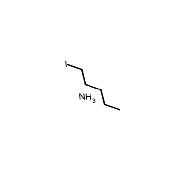 CCCCCI.N